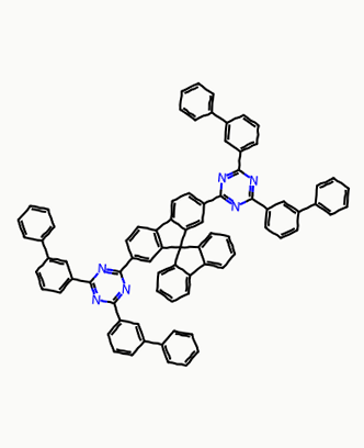 c1ccc(-c2cccc(-c3nc(-c4cccc(-c5ccccc5)c4)nc(-c4ccc5c(c4)C4(c6ccccc6-c6ccccc64)c4cc(-c6nc(-c7cccc(-c8ccccc8)c7)nc(-c7cccc(-c8ccccc8)c7)n6)ccc4-5)n3)c2)cc1